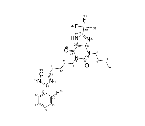 CCCCn1c(=O)n(CCCCc2nc(-c3ccccc3F)no2)c(=O)c2[nH]c(C(F)(F)F)nc21